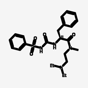 CCN(CC)CCN(C)C(=O)[C@H](Cc1ccccc1)NC(=O)NS(=O)(=O)c1ccccc1